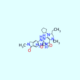 CCC1CN(C)C2=C(N[C@@](N)(Nc3cc4c(cc3OC)C(=O)N(C)C4)NC2=O)N1C1CCCC1